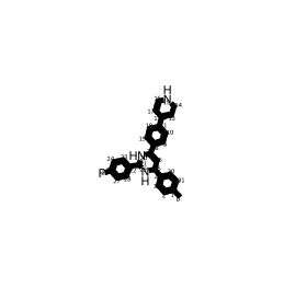 Cc1ccc(C2C=C(c3ccc(C4=CCNC=C4)cc3)NC(c3ccc(F)cc3)N2)cc1